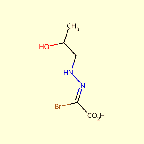 CC(O)CNN=C(Br)C(=O)O